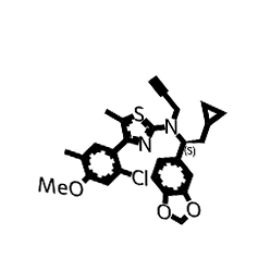 C#CCN(c1nc(-c2cc(C)c(OC)cc2Cl)c(C)s1)[C@@H](CC1CC1)c1ccc2c(c1)OCO2